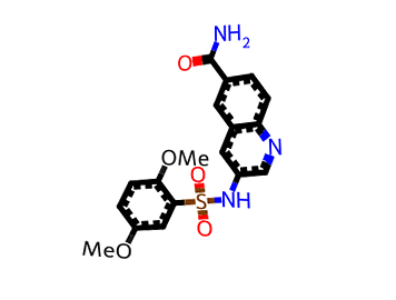 COc1ccc(OC)c(S(=O)(=O)Nc2cnc3ccc(C(N)=O)cc3c2)c1